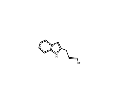 BrC=CCc1cc2ccccc2[nH]1